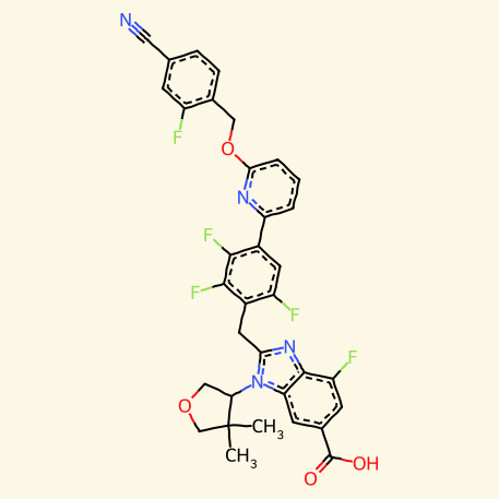 CC1(C)COCC1n1c(Cc2c(F)cc(-c3cccc(OCc4ccc(C#N)cc4F)n3)c(F)c2F)nc2c(F)cc(C(=O)O)cc21